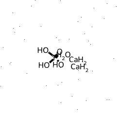 O.O=P(O)(O)O.[CaH2].[CaH2]